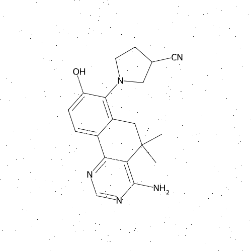 CC1(C)Cc2c(ccc(O)c2N2CCC(C#N)C2)-c2ncnc(N)c21